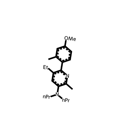 CCCN(CCC)c1cc(CC)c(-c2ccc(OC)cc2C)nc1C